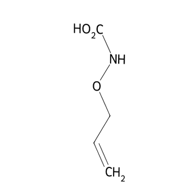 C=CCONC(=O)O